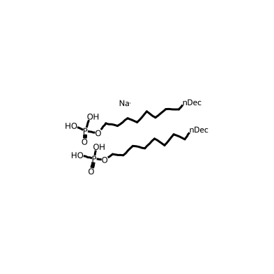 CCCCCCCCCCCCCCCCCCOP(=O)(O)O.CCCCCCCCCCCCCCCCCCOP(=O)(O)O.[Na]